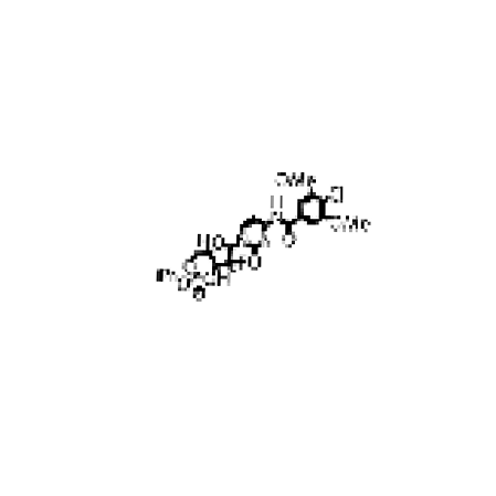 COc1cc(C(=O)Nc2ccn(C3O[C@@H]4COP(=O)(OC(C)C)O[C@H]4C3(F)F)c(=O)n2)cc(OC)c1Cl